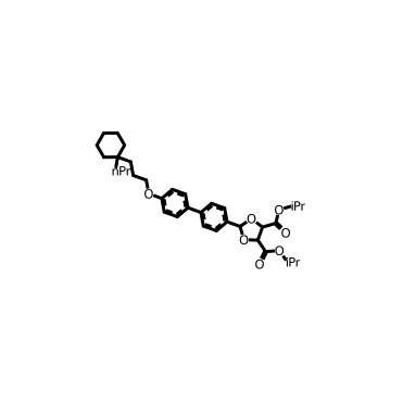 CCCC1(CCCOc2ccc(-c3ccc(C4OC(C(=O)OC(C)C)C(C(=O)OC(C)C)O4)cc3)cc2)CCCCC1